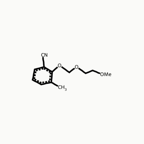 COCCOCOc1c(C)cccc1C#N